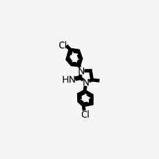 CC1CN(c2ccc(Cl)cc2)C(=N)N1c1ccc(Cl)cc1